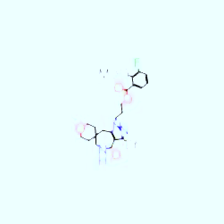 CCc1nn(CCCOC(=O)c2cccc(F)c2OC)c2c1C(=O)NCC1(CCOCC1)C2